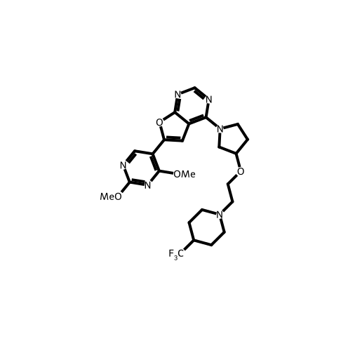 COc1ncc(-c2cc3c(N4CCC(OCCN5CCC(C(F)(F)F)CC5)C4)ncnc3o2)c(OC)n1